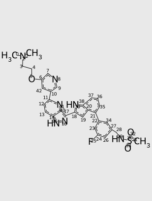 CN(C)CCOc1cncc(-c2ccc3[nH]nc(-c4cc5c(-c6cc(F)cc(CNS(C)(=O)=O)c6)cccc5[nH]4)c3n2)c1